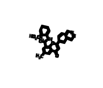 Cc1cc(C(C)Nc2ccccc2C(=O)O)c2oc(-c3ccc4cnncc4c3)cc(=O)c2c1